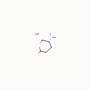 CC(=O)N(C(C)=O)[C@H]1[C@H](O)[C@H](O)C(O)O[C@@H]1CO